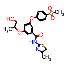 CC1CSC(NC(=O)c2cc(Oc3ccc(S(C)(=O)=O)cc3)cc(O[C@@H](C)CO)c2)=N1